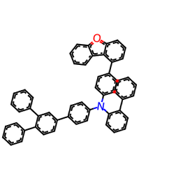 c1ccc(-c2ccc(-c3ccc(N(c4ccc(-c5cccc6oc7ccccc7c56)cc4)c4ccccc4-c4ccccc4)cc3)cc2-c2ccccc2)cc1